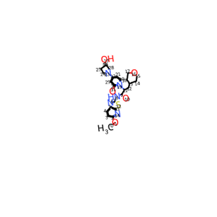 COc1ccc2nc(NC(=O)C(CC3CCOCC3)n3ccc(N4CC[C@H](O)C4)cc3=O)sc2n1